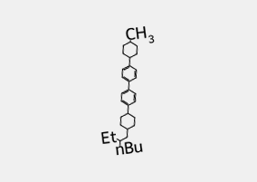 CCCCC(CC)CC1CCC(c2ccc(-c3ccc(C4CCC(C)CC4)cc3)cc2)CC1